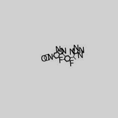 CC(c1cc(-c2ncnc3cc(N4CCOCC4)ccc23)c(F)cc1F)c1ncnc2ncn(C)c12